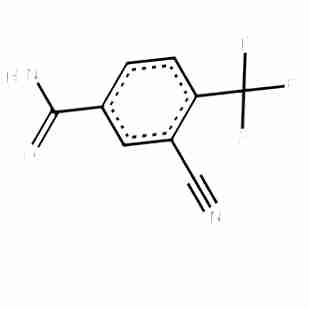 N#Cc1cc(C(N)=O)ccc1C(F)(F)F